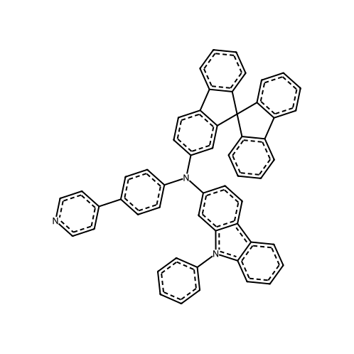 c1ccc(-n2c3ccccc3c3ccc(N(c4ccc(-c5ccncc5)cc4)c4ccc5c(c4)C4(c6ccccc6-c6ccccc64)c4ccccc4-5)cc32)cc1